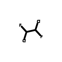 FC(Cl)C(F)Cl